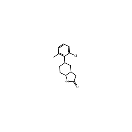 Cc1cccc(Cl)c1C1CCC2NC(=O)CC2C1